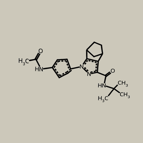 CC(=O)Nc1ccc(-n2nc(C(=O)NC(C)(C)C)c3c2C2CCC3C2)cc1